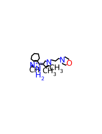 C#[N+]C1=C(/C(N)=C2\CN(CCCN3CCOCC3)C(C)=C2C)CCCCC1